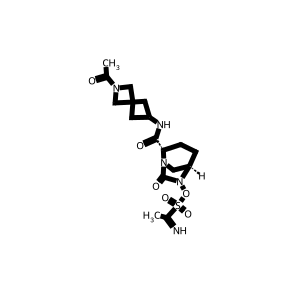 CC(=N)S(=O)(=O)ON1C(=O)N2C[C@H]1CC[C@H]2C(=O)NC1CC2(C1)CN(C(C)=O)C2